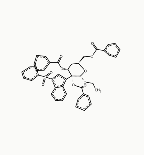 CCO[C@H]1O[C@H](COC(=O)c2ccccc2)C[C@H](OC(=O)c2ccccc2)[C@]1(OC(=O)c1ccccc1)c1cn(S(=O)(=O)c2ccccc2)c2ccccc12